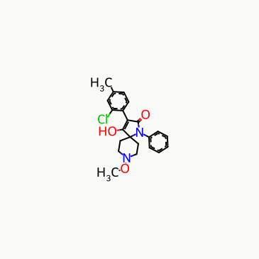 CON1CCC2(CC1)C(O)=C(c1ccc(C)cc1Cl)C(=O)N2c1ccccc1